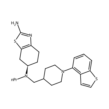 CCCN(CC1CCN(c2cccc3sccc23)CC1)[C@@H]1CCc2nc(N)sc2C1